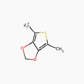 Cc1sc(C)c2c1OCO2